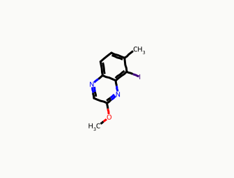 COc1cnc2ccc(C)c(I)c2n1